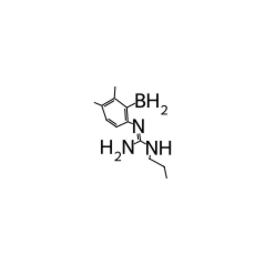 Bc1c(/N=C(\N)NCCC)ccc(C)c1C